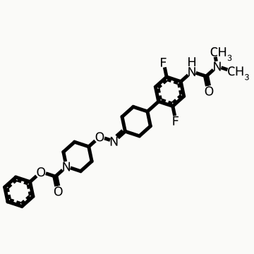 CN(C)C(=O)Nc1cc(F)c(C2CCC(=NOC3CCN(C(=O)Oc4ccccc4)CC3)CC2)cc1F